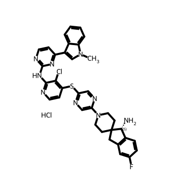 Cl.Cn1cc(-c2ccnc(Nc3nccc(Sc4cnc(N5CCC6(CC5)Cc5cc(F)ccc5[C@H]6N)cn4)c3Cl)n2)c2ccccc21